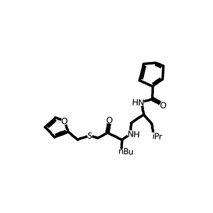 CCCCC(NCC(CC(C)C)NC(=O)c1ccccc1)C(=O)CSCc1ccco1